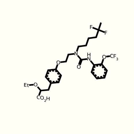 CCOC(Cc1ccc(OCCN(CCCCC(C)(F)F)C(=O)Nc2ccccc2OC(F)(F)F)cc1)C(=O)O